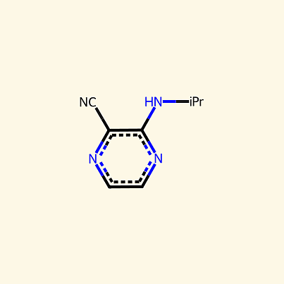 CC(C)Nc1nccnc1C#N